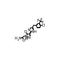 N=C/C(C(=O)NCC(N)=O)=C1/N=CC(Cc2ccc(Cl)c(C(F)(F)F)c2)=CN1